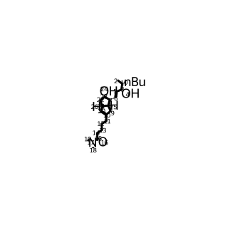 CCCC[C@@H](C)[C@H](O)/C=C/[C@@H]1[C@H]2CC(CCCCC(=O)N(C)C)=C[C@H]2C[C@H]1O